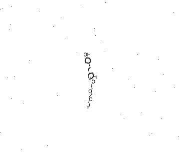 Oc1ccc(C=Cc2cnc(OCCOCCOCCF)c(I)c2)cc1